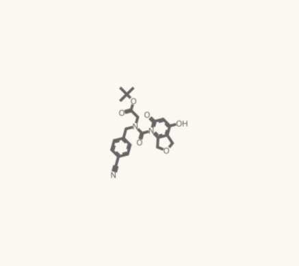 CC(C)(C)OC(=O)CN(Cc1ccc(C#N)cc1)C(=O)n1c2c(c(O)cc1=O)COC2